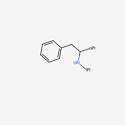 CCCC(Cc1ccccc1)NC(C)C